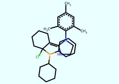 Cc1cc(C)c(N2CCNC2=C2CCCCC2(Cl)P(C2CCCCC2)C2CCCCC2)c(C)c1